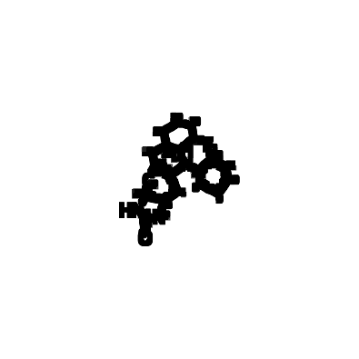 O=C1[N]c2cc(Nc3ccccc3F)c(CC3CCCCC3)cc2N1